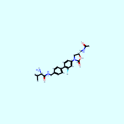 CC(=O)NC[C@H]1CN(c2ccc(-c3ccc(CNC(=O)[C@H](N)C(C)C)cc3)c(F)c2)C(=O)O1